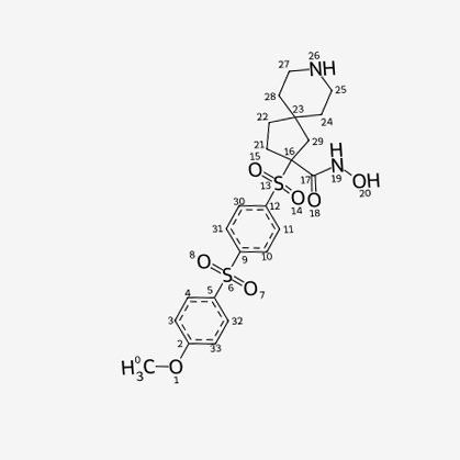 COc1ccc(S(=O)(=O)c2ccc(S(=O)(=O)C3(C(=O)NO)CCC4(CCNCC4)C3)cc2)cc1